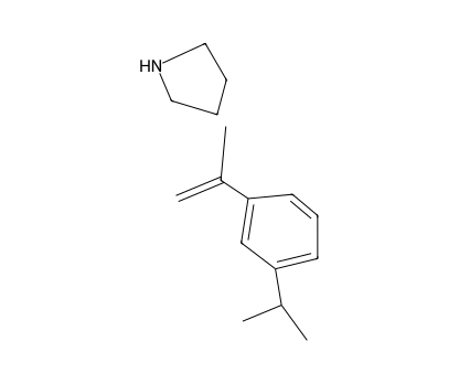 C1CCNC1.C=C(C)c1cccc(C(C)C)c1